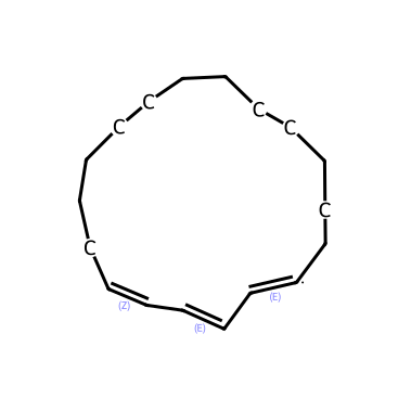 [C]1=C/C=C/C=C\CCCCCCCCCCCC/1